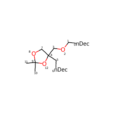 CCCCCCCCCCCOCC1(CCCCCCCCCCC)COC(C)(C)O1